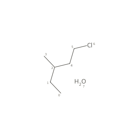 CCC(C)CCCl.O